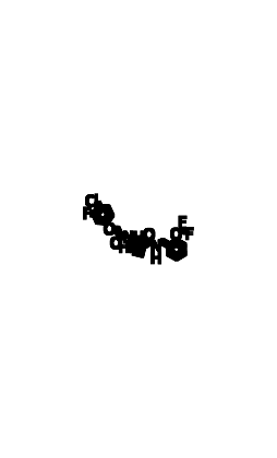 O=C(COc1ccc(Cl)c(F)c1)N[C@H]1CC2(C(=O)NCc3ccccc3OC(F)F)CC1C2